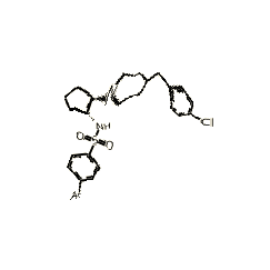 CC(=O)c1ccc(S(=O)(=O)N[C@@H]2CCC[C@H]2N2CCC(Cc3ccc(Cl)cc3)CC2)cc1